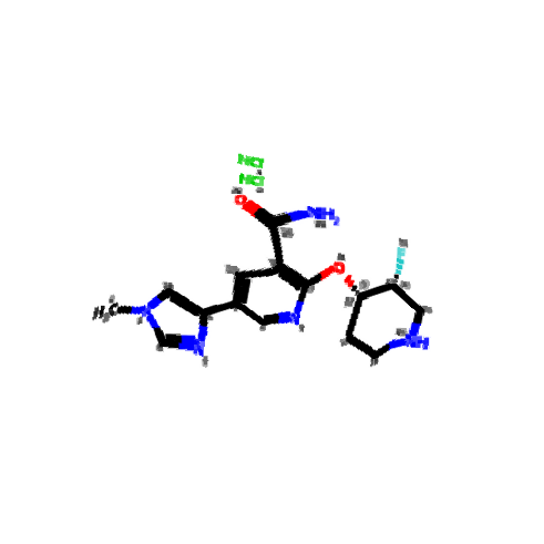 Cl.Cl.Cn1cnc(-c2cnc(O[C@H]3CCNC[C@H]3F)c(C(N)=O)c2)c1